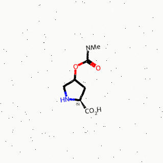 CNC(=O)OC1CN[C@H](C(=O)O)C1